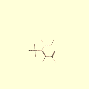 C=C(C)/C(C)=C(\N(C)CC)C(C)(C)C